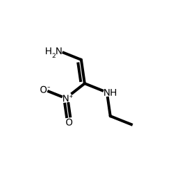 CCNC(=CN)[N+](=O)[O-]